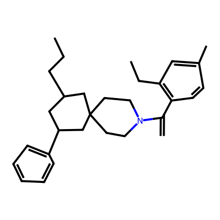 C=C(c1ccc(C)cc1CC)N1CCC2(CC1)CC(CCC)CC(c1ccccc1)C2